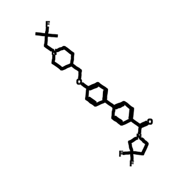 CC(C)(F)CN1CCC(COc2ccc(-c3ccc(C(=O)N4CCC(F)(F)C4)cc3)cc2)CC1